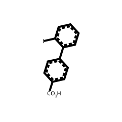 O=C(O)c1ccc(-c2ccccc2I)cc1